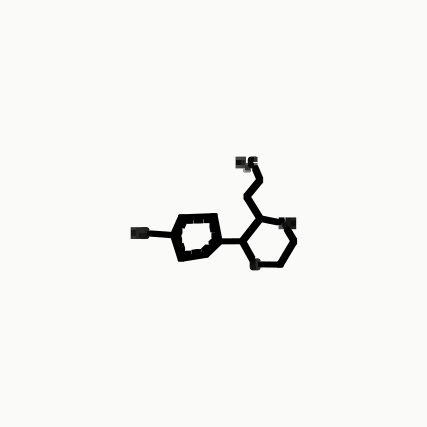 CCCC1NCCOC1c1ccc(O)cc1